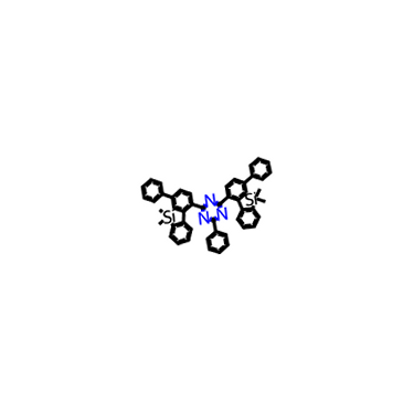 C[Si]1(C)c2ccccc2-c2c(-c3nc(-c4ccccc4)nc(-c4ccc(-c5ccccc5)c5c4-c4ccccc4[Si]5(C)C)n3)ccc(-c3ccccc3)c21